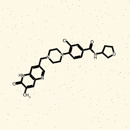 Cc1cc2ncc(CN3CCN(c4ccc(C(=O)NC5CCOC5)cc4Cl)CC3)cc2[nH]c1=O